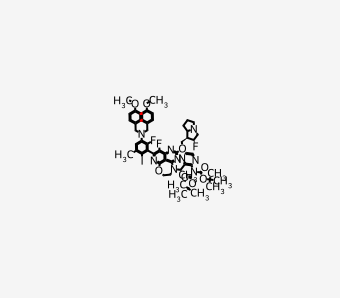 COc1ccc(CN(Cc2ccc(OC)cc2)c2cc(C)c(I)c(-c3nc4c5c(nc(OC[C@H]6C7CCCN7C[C@@H]6F)nc5c3F)N([C@H](C)c3nccnc3N(C(=O)OC(C)(C)C)C(=O)OC(C)(C)C)CCO4)c2F)cc1